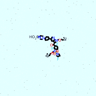 C[Si](C)(C)CCOCN(c1ccc(F)c(C(=O)c2cn(COCC[Si](C)(C)C)c3ncc(-c4ccc(N5CCN(C(=O)O)CC5)cc4)cc23)c1F)S(=O)(=O)N1CC[C@@H](F)C1